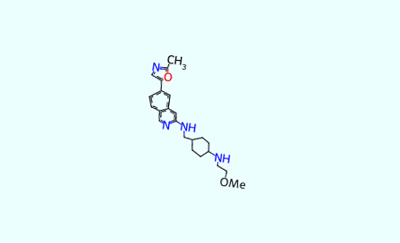 COCCNC1CCC(CNc2cc3cc(-c4cnc(C)o4)ccc3cn2)CC1